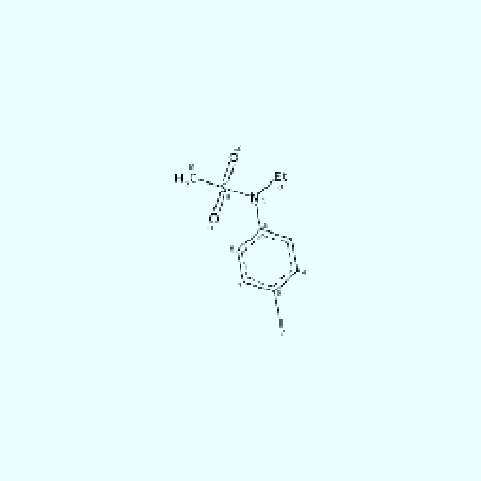 CCN(c1ccc(I)cc1)S(C)(=O)=O